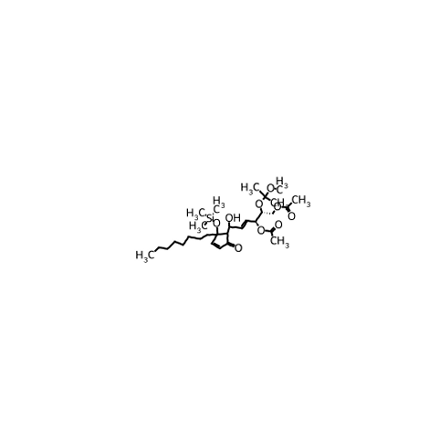 CCCCCCCCC1(O[Si](C)(C)C)C=CC(=O)C1C(O)/C=C/[C@H](OC(C)=O)[C@@H](COC(C)=O)OC(C)(C)OC